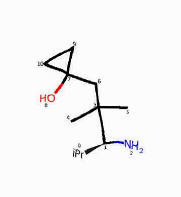 CC(C)[C@H](N)C(C)(C)CC1(O)CC1